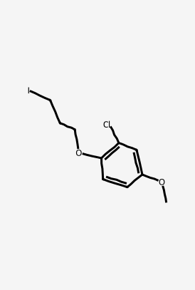 COc1ccc(OCCCI)c(Cl)c1